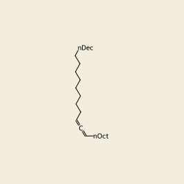 CCCCCCCCC=C=CCCCCCCCCCCCCCCCCCC